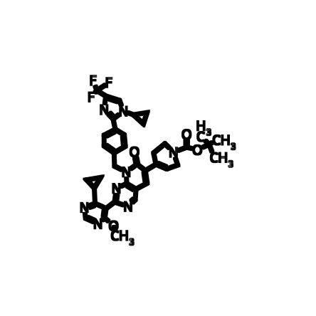 COc1ncnc(C2CC2)c1-c1ncc2cc(C3=CCN(C(=O)OC(C)(C)C)CC3)c(=O)n(Cc3ccc(-c4nc(C(F)(F)F)cn4C4CC4)cc3)c2n1